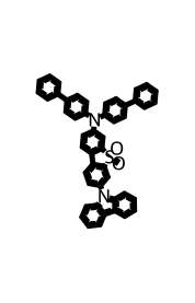 O=S1(=O)c2cc(N(c3ccc(-c4ccccc4)cc3)c3ccc(-c4ccccc4)cc3)ccc2-c2ccc(-n3c4ccccc4c4ccccc43)cc21